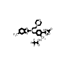 O=C(O)C(F)(F)F.O=c1[nH]c(-c2ccc(CN(CCN3CCOCC3)c3nc4ccc(C(F)(F)F)cc4s3)cc2C(F)(F)F)no1